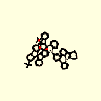 CC(C)(C)c1ccc2c(c1)C1(c3ccccc3-c3cc(N(c4ccc(-c5ccccc5-n5c6ccccc6c6ccccc65)cc4)c4ccccc4-c4cccc5c4-c4ccccc4C5(C)C)ccc31)c1cc(C(C)(C)C)ccc1-2